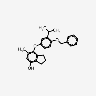 Cc1cc(O)c2c(c1Oc1ccc(OCc3ccccc3)c(C(C)C)c1)CCC2